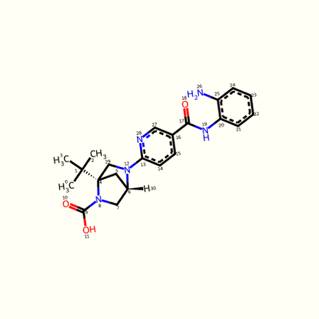 CC(C)(C)[C@]12C[C@@H](CN1C(=O)O)N(c1ccc(C(=O)Nc3ccccc3N)cn1)C2